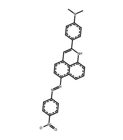 CN(C)c1ccc(C2=Cc3ccc(N=Nc4ccc([N+](=O)[O-])cc4)c4cccc(c34)N2)cc1